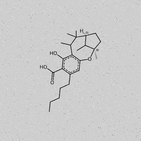 CCCCCc1cc2c(c(O)c1C(=O)O)C(C)C(C)(C)[C@H]1CC[C@@](C)(O2)C1C